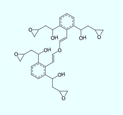 OC(CC1CO1)c1cccc(C(O)CC2CO2)c1C=COC=Cc1c(C(O)CC2CO2)cccc1C(O)CC1CO1